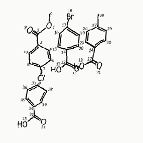 COC(=O)c1ccc(Cl)cc1.O=C(O)c1ccc(Br)cc1.O=C(O)c1ccc(I)cc1.O=C(O)c1ccccc1